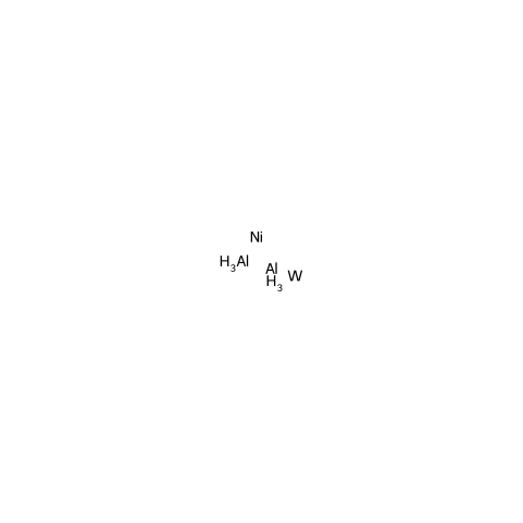 [AlH3].[AlH3].[Ni].[W]